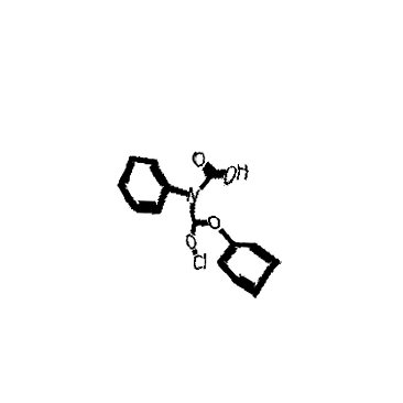 O=C(O)N(c1ccccc1)C(OCl)Oc1ccccc1